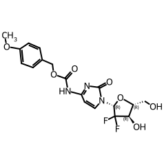 COc1ccc(COC(=O)Nc2ccn([C@@H]3O[C@H](CO)[C@@H](O)C3(F)F)c(=O)n2)cc1